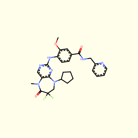 COc1cc(C(=O)NCc2ccccn2)ccc1Nc1ncc2c(n1)N(C1CCCC1)CC(F)(F)C(=O)N2C